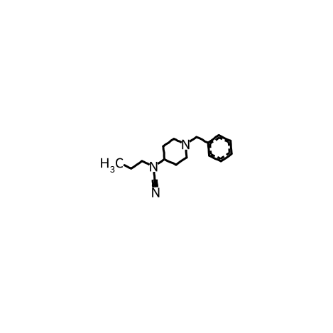 CCCN(C#N)C1CCN(Cc2ccccc2)CC1